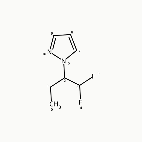 CCC(C(F)F)n1cccn1